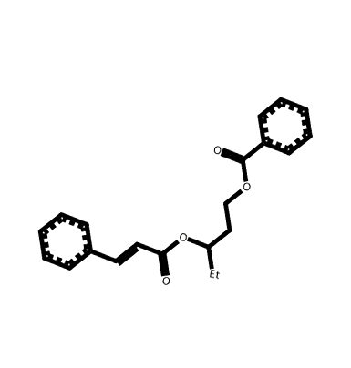 CCC(CCOC(=O)c1ccccc1)OC(=O)C=Cc1ccccc1